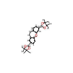 CC1(C)OB(c2ccc3c(c2)CCc2ccc(B4OC(C)(C)C(C)(C)O4)cc2O3)OC1(C)C